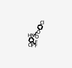 O=C(COc1ccc(Cl)cc1)Nc1ccc(Cl)c(C(F)(F)F)c1